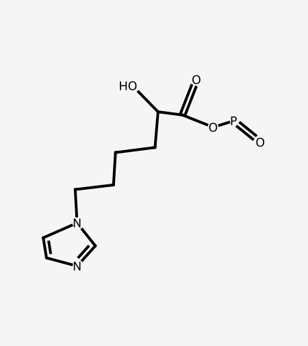 O=POC(=O)C(O)CCCCn1ccnc1